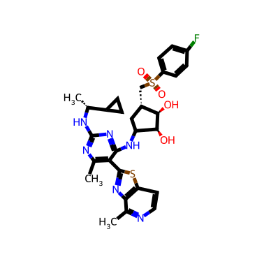 Cc1nc(N[C@H](C)C2CC2)nc(NC2C[C@H](CS(=O)(=O)c3ccc(F)cc3)[C@@H](O)[C@H]2O)c1-c1nc2c(C)nccc2s1